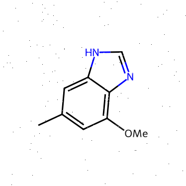 COc1cc(C)cc2[nH]cnc12